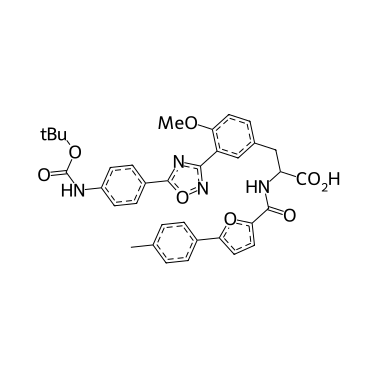 COc1ccc(CC(NC(=O)c2ccc(-c3ccc(C)cc3)o2)C(=O)O)cc1-c1noc(-c2ccc(NC(=O)OC(C)(C)C)cc2)n1